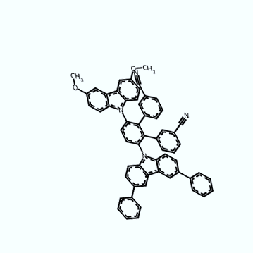 COc1ccc2c(c1)c1cc(OC)ccc1n2-c1ccc(-n2c3ccc(-c4ccccc4)cc3c3cc(-c4ccccc4)ccc32)c(-c2cccc(C#N)c2)c1-c1cccc(C#N)c1